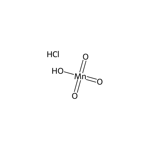 Cl.[O]=[Mn](=[O])(=[O])[OH]